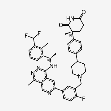 Cc1c(C(F)F)cccc1[C@@H](C)Nc1nnc(C)c2cnc(-c3ccc(F)c(CN4CCC(c5ccc([C@@]6(C)CCC(=O)NC6=O)cc5)CC4)c3)cc12